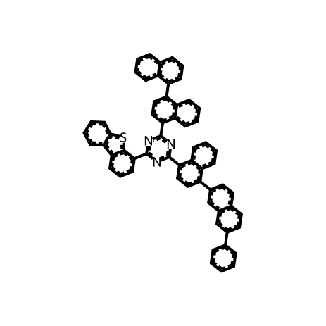 c1ccc(-c2ccc3ccc(-c4ccc(-c5nc(-c6ccc(-c7cccc8ccccc78)c7ccccc67)nc(-c6cccc7c6sc6ccccc67)n5)c5ccccc45)cc3c2)cc1